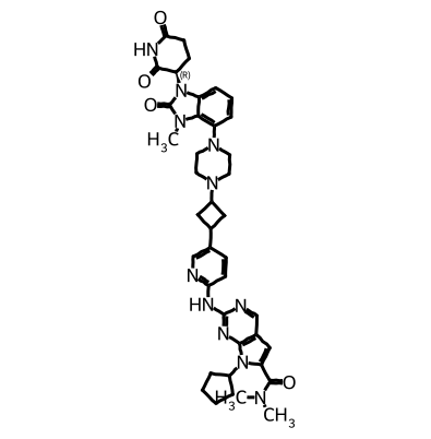 CN(C)C(=O)c1cc2cnc(Nc3ccc(C4CC(N5CCN(c6cccc7c6n(C)c(=O)n7[C@@H]6CCC(=O)NC6=O)CC5)C4)cn3)nc2n1C1CCCC1